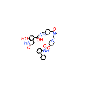 CN(CCN1CCC(OC(=O)Nc2ccccc2-c2ccccc2)CC1)C(=O)C1CCC(CNC[C@H](O)c2ccc(O)c3[nH]c(=O)ccc23)CC1